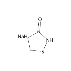 O=C1CCSN1.[NaH]